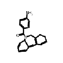 Nc1ccc(C(=O)N2CC3=C(C=CCC3)C=C3C=CC=CC32)cc1